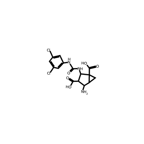 NC1C(C(=O)O)C(NC(=O)Nc2cc(Cl)cc(Cl)c2)C2(C(=O)O)CC12